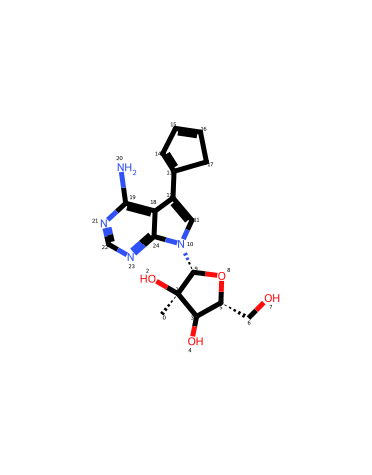 C[C@@]1(O)C(O)[C@@H](CO)O[C@H]1n1cc(C2=CC=CC2)c2c(N)ncnc21